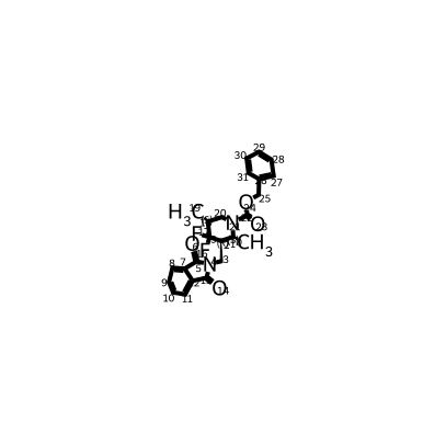 C[C@H]1[C@@H](CN2C(=O)c3ccccc3C2=O)C(F)(F)[C@@H](C)CN1C(=O)OCc1ccccc1